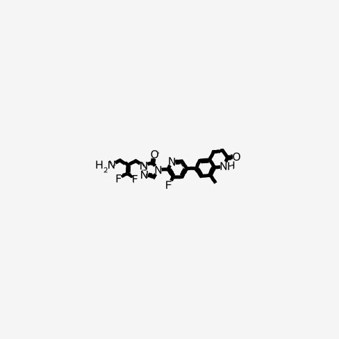 Cc1cc(-c2cnc(-n3cnn(CC(CN)=C(F)F)c3=O)c(F)c2)cc2c1NC(=O)CC2